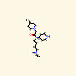 CCC1CCN(CC(=O)N(CCCCN(CC)CC)C2CCNCC2)CC1